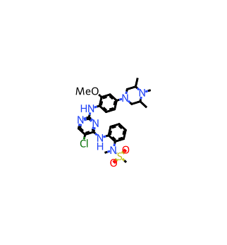 COc1cc(N2CC(C)N(C)C(C)C2)ccc1Nc1ncc(Cl)c(Nc2ccccc2N(C)S(C)(=O)=O)n1